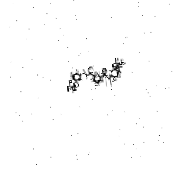 O=C(CCc1cccc(OC(F)(F)F)c1)c1cccc(C(=O)NC2=CC=C[C@@H](OC(F)(F)F)C2)n1